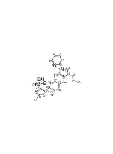 CCCc1nn(-c2ccccn2)c(=O)n1Cc1ccc(-c2cc(C)sc2S(=O)(=O)O)c(C)c1